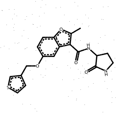 Cc1oc2ccc(OCc3ccsc3)cc2c1C(=O)NC1CCNC1=O